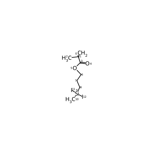 C=C(C)C(=O)OCCC[Si](C)(I)I